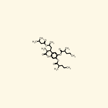 CCCC(C)C(=O)Oc1ccc(C(CC(C)OC(=O)CC(C)C)[C@H](N)C(=O)O)cc1OC(=O)C(C)CCC